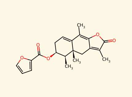 CC1=C2C[C@@]3(C)C(=CC[C@H](OC(=O)c4ccco4)[C@@H]3C)C(C)=C2OC1=O